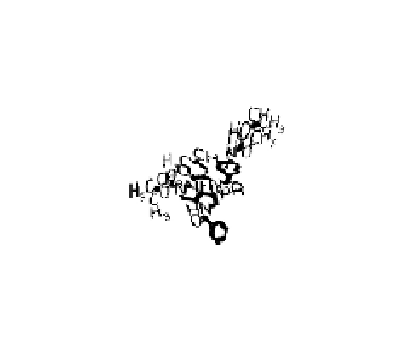 CC(C)C[C@H](NC(=O)c1ccc(NC(=O)OC(C)(C)C)cc1)C(=O)N1[C@H]2[C@@H](CN1C(=O)OC(C)(C)C)N(C(=O)c1ccccc1)C[C@@H]2O